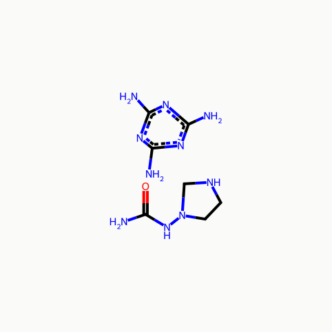 NC(=O)NN1CCNC1.Nc1nc(N)nc(N)n1